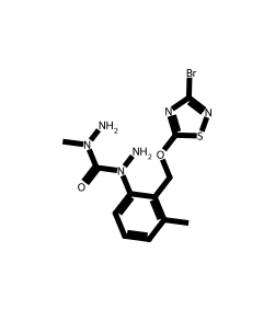 Cc1cccc(N(N)C(=O)N(C)N)c1COc1nc(Br)ns1